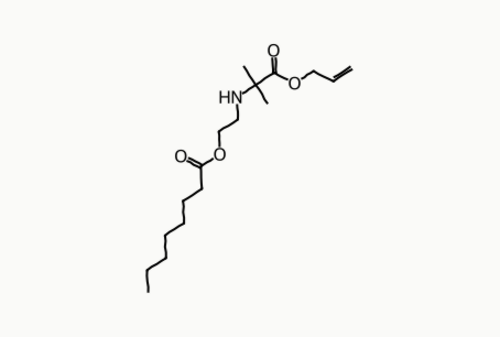 C=CCOC(=O)C(C)(C)NCCOC(=O)CCCCCCC